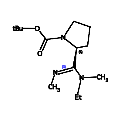 CCN(C)/C(=N\C)[C@@H]1CCCN1C(=O)OC(C)(C)C